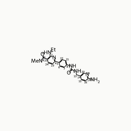 CCNc1nc(-c2ccc(NC(=O)NCc3ccc(N)nc3)cc2)ccc1C(=O)NC